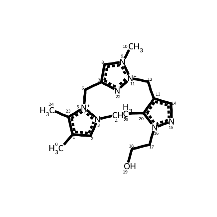 Cc1cn(C)[n+](Cc2cn(C)[n+](Cc3cnn(CCO)c3C)n2)c1C